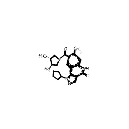 Cc1cc2[nH]c(=O)c3cnn(C4CCCC4)c3c2cc1C(=O)N1C[C@@H](O)[C@H](O)C1